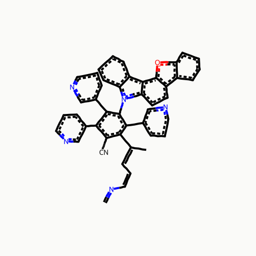 C=N/C=C\C=C(/C)c1c(C#N)c(-c2cccnc2)c(-c2cccnc2)c(-n2c3ccccc3c3c4oc5ccccc5c4ccc32)c1-c1cccnc1